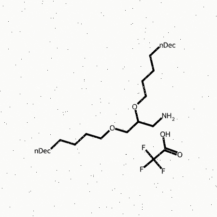 CCCCCCCCCCCCCCOCC(CN)OCCCCCCCCCCCCCC.O=C(O)C(F)(F)F